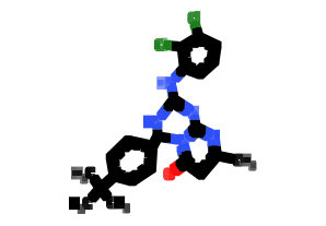 Cc1cc(=O)n2c(n1)N=C(Nc1cccc(Cl)c1Cl)NC2c1ccc(C(C)(C)C)cc1